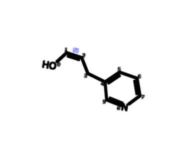 O/C=C\Cc1cccnc1